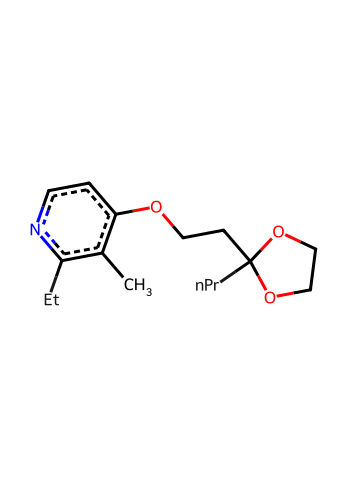 CCCC1(CCOc2ccnc(CC)c2C)OCCO1